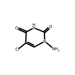 Nn1cc(Cl)c(=O)[nH]c1=O